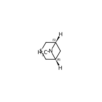 CN1[C@@H]2CSC[C@H]1C2